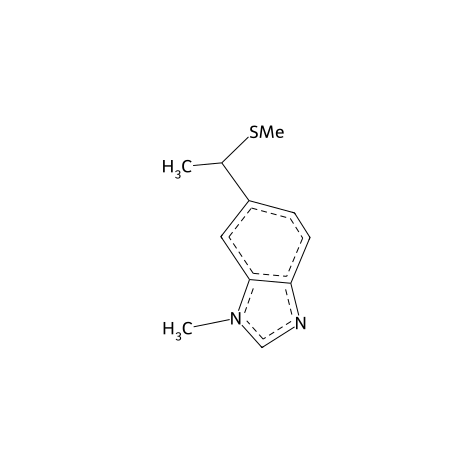 CSC(C)c1ccc2ncn(C)c2c1